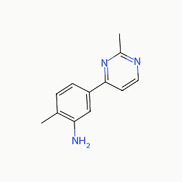 Cc1nccc(-c2ccc(C)c(N)c2)n1